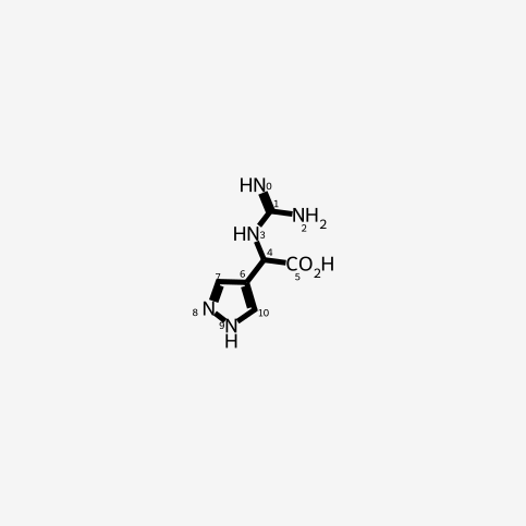 N=C(N)NC(C(=O)O)c1cn[nH]c1